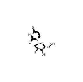 O=c1ccn([C@@]23C[C@@]2(F)[C@H](O)[C@@H](CO)O3)c(=O)[nH]1